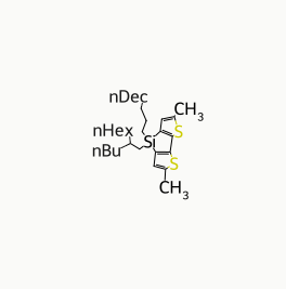 CCCCCCCCCCCCC[Si]1(CC(CCCC)CCCCCC)c2cc(C)sc2-c2sc(C)cc21